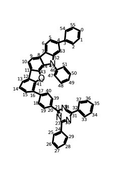 c1ccc(-c2ccc3c4ccc5c6cccc(-c7ccc(-c8nc(-c9ccccc9)nc(-c9ccccc9)n8)cc7)c6oc5c4n(-c4ccccc4)c3c2)cc1